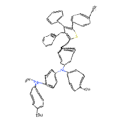 CC(C)c1ccc(-c2sc(-c3ccc(N(c4ccc(N(c5ccc(C(C)(C)C)cc5)C(C)C)cc4)c4ccc(C(C)(C)C)cc4)cc3)c(-c3ccccc3)c2-c2ccccc2)cc1